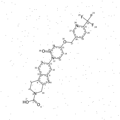 O=C(O)N1CCc2c(sc3cc(-n4ccc(OCc5ccc(C(F)(F)F)nc5)cc4=O)ccc23)C1